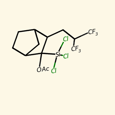 CC(=O)OC1([Si](Cl)(Cl)Cl)C2CCC(C2)C1CC(C(F)(F)F)C(F)(F)F